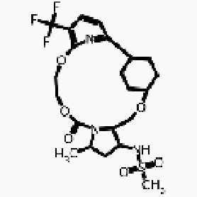 CC1CC(NS(C)(=O)=O)C2COC3CCC(CC3)c3ccc(C(F)(F)F)c(n3)OCCOC(=O)N12